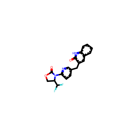 O=C1OCC(C(F)F)N1c1ccc(Cc2cc3ccccc3[nH]c2=O)cn1